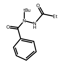 CCC(=O)NN(C(=O)c1ccccc1)C(C)(C)C